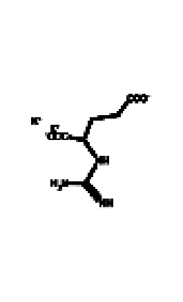 N=C(N)NC(CCC(=O)[O-])C(=O)[O-].[K+].[K+]